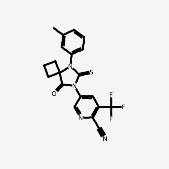 Cc1cccc(N2C(=S)N(c3cnc(C#N)c(C(F)(F)F)c3)C(=O)C23CCC3)c1